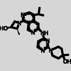 CC(C)c1cnc(N2C[C@H](O)[C@H]2C)c2cnc(Nc3ccnc(N4CCC(C)(O)CC4)n3)cc12